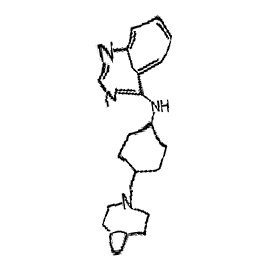 c1ccc2c(NC3CCC(N4CCOCC4)CC3)ncnc2c1